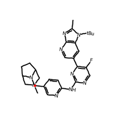 Cc1nc2ncc(-c3nc(Nc4ccc(CN5C6CCC5CN(C)C6)cn4)ncc3F)cc2n1C(C)(C)C